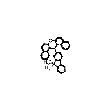 CC1(C)c2ccccc2-c2ccc(C3c4c(ccc5ccccc45)Oc4ccc5ccccc5c43)cc21